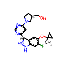 CC1(Oc2cc3c(cc2F)NN[C@H]3c2cc(N3CC[C@@H](CO)C3)ncn2)CC1